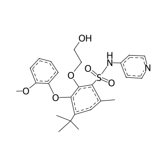 COc1ccccc1Oc1c(C(C)(C)C)cc(C)c(S(=O)(=O)Nc2ccncc2)c1OCCO